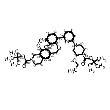 CCO[C@@H]1CN(c2cccc(-c3cccc(Cl)c3OCc3cc4c(c(OC)c3)CN(C(=O)OC(C)(C)C)CC4)n2)CC[C@@H]1C(=O)OC(C)(C)C